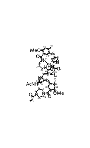 C=CC(=O)N1CCCN(C(=O)c2cc(Sc3sc(NC(C)=O)nc3C=CC(=O)N3CCCN(C(=O)c4cc(Sc5cnc(NC(=O)C6CC6)s5)c(C)cc4OC)CC3)c(C)cc2OC)CC1